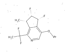 CC(C)Oc1cnc(C(C)(F)F)c2c1[C@@H](F)[C@@H](F)[C@H]2C